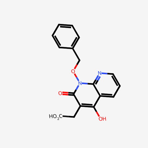 O=C(O)Cc1c(O)c2cccnc2n(OCc2ccccc2)c1=O